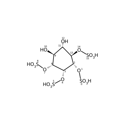 O=S(=O)(O)O[C@@H]1[C@H](OS(=O)(=O)O)[C@H](OS(=O)(=O)O)[C@@H](O)[C@H](O)[C@H]1OS(=O)(=O)O